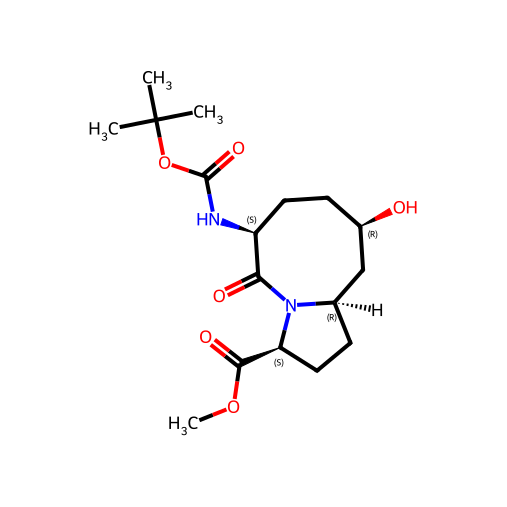 COC(=O)[C@@H]1CC[C@@H]2C[C@H](O)CC[C@H](NC(=O)OC(C)(C)C)C(=O)N21